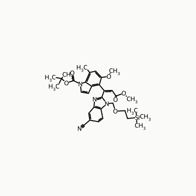 COC(=O)C=C(c1c(OC)cc(C)c2c1ccn2C(=O)OC(C)(C)C)c1nc2cc(C#N)ccc2n1COCC[Si](C)(C)C